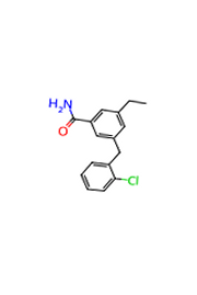 CCc1cc(Cc2ccccc2Cl)cc(C(N)=O)c1